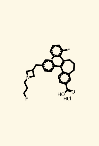 Cc1cccc(F)c1C1=C(c2ccc(CC3CN(CCCF)C3)cc2)c2ccc(C(=O)O)cc2CCC1.Cl